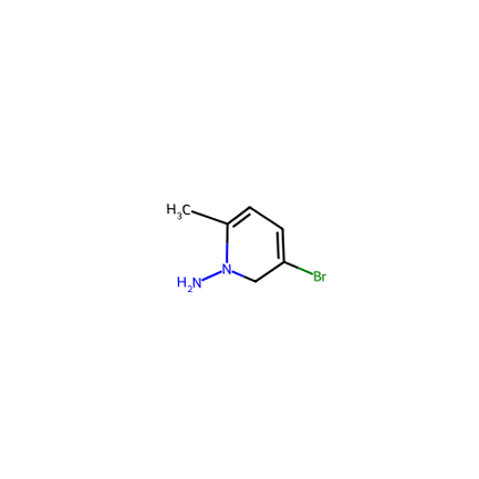 CC1=CC=C(Br)CN1N